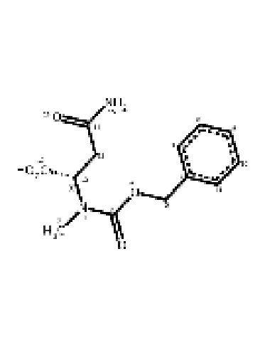 CN(C(=O)OCc1ccccc1)[C@@H](CC(N)=O)C(=O)O